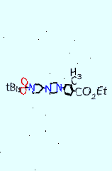 CCOC(=O)c1ccc(N2CCN(C3CCN(C(=O)OC(C)(C)C)CC3)CC2)cc1C